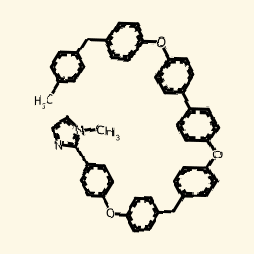 Cc1ccc(Cc2ccc(Oc3ccc(-c4ccc(Oc5ccc(Cc6ccc(Oc7ccc(-c8nccn8C)cc7)cc6)cc5)cc4)cc3)cc2)cc1